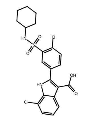 O=C(O)c1c(-c2ccc(Cl)c(S(=O)(=O)NC3CCCCC3)c2)[nH]c2c(Cl)cccc12